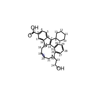 O=C(O)c1ccc2c(C3CCCCC3)c3n(c2c1)C/C=C\CN(CCO)c1ccccc1-3